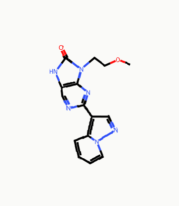 COCCn1c(=O)[nH]c2cnc(-c3cnn4ccccc34)nc21